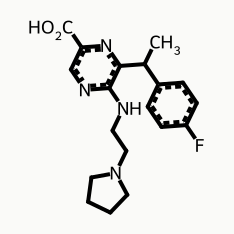 CC(c1ccc(F)cc1)c1nc(C(=O)O)cnc1NCCN1CCCC1